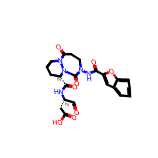 O=C[C@H](CC(=O)O)NC(=O)[C@@H]1CCCN2C(=O)CCN(NC(=O)c3cc4ccccc4o3)C(=O)N12